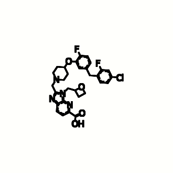 O=C(O)c1ccc2nc(CN3CCC(Oc4cc(Cc5ccc(Cl)cc5F)ccc4F)CC3)n(CC3CCO3)c2n1